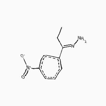 CC/C(=N\N)c1cccc([N+](=O)[O-])c1